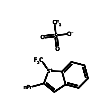 CCCc1cc2ccccc2[s+]1C(F)(F)F.O=S(=O)([O-])C(F)(F)F